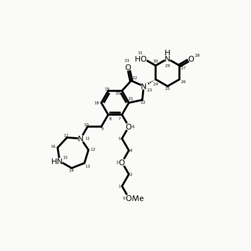 COCCOCCOc1c(CCN2CCCNCC2)ccc2c1CN([C@H]1CCC(=O)NC1O)C2=O